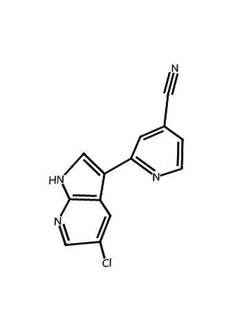 N#Cc1ccnc(-c2c[nH]c3ncc(Cl)cc23)c1